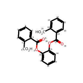 O=C(O)c1ccccc1C(=O)Oc1ccccc1OC(=O)c1ccccc1C(=O)O